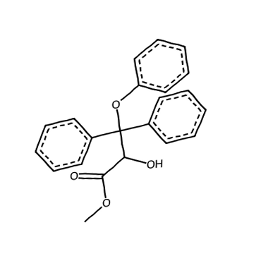 COC(=O)C(O)C(Oc1ccccc1)(c1ccccc1)c1ccccc1